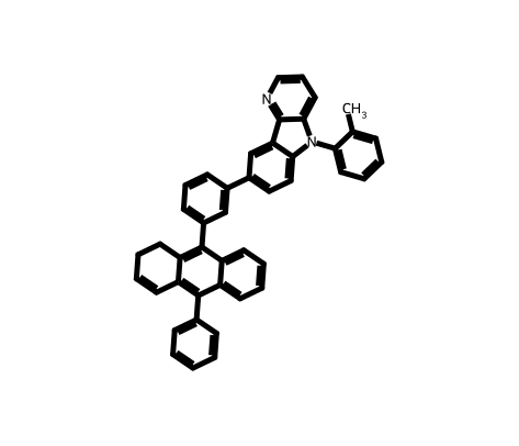 Cc1ccccc1-n1c2ccc(-c3cccc(-c4c5c(c(-c6ccccc6)c6ccccc46)C=CCC5)c3)cc2c2ncccc21